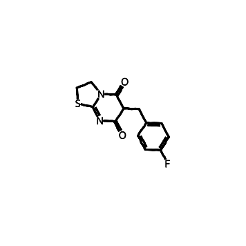 O=C1N=C2SCCN2C(=O)C1Cc1ccc(F)cc1